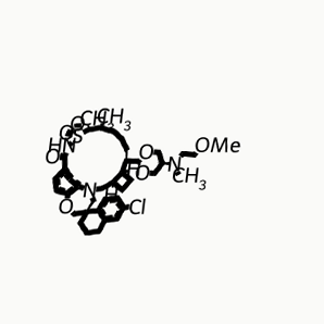 COCCN(C)[C@H]1CO[C@H]([C@@H]2CCC[C@H](C)[C@@H](C)S(=O)(=O)NC(=O)c3ccc4c(c3)N(C[C@@H]3CC[C@H]32)C[C@@]2(CCCc3cc(Cl)ccc32)CO4)OC1